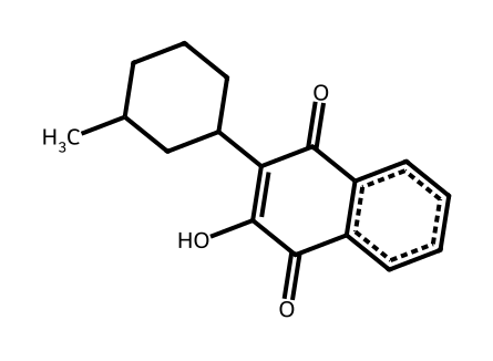 CC1CCCC(C2=C(O)C(=O)c3ccccc3C2=O)C1